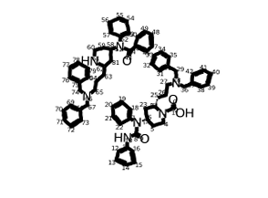 O=C(O)N1CC[C@H](N(C(=O)Nc2ccccc2)c2ccccc2)C[C@@H]1CCCN(Cc1ccccc1)Cc1ccccc1.O=C(c1ccccc1)N(c1ccccc1)C1CCNC(CCCN(Cc2ccccc2)Cc2ccccc2)C1